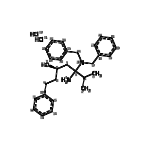 CC(C)C(N)(C[C@H](O)CCc1ccccc1)N(Cc1ccccc1)Cc1ccccc1.Cl.Cl